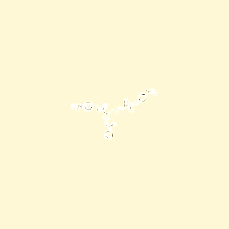 O=C(NCCSC[C@@H]1C[C@H](SC(=O)c2ccccc2)CN1C(=O)OCc1ccc([N+](=O)[O-])cc1)OCc1ccc([N+](=O)[O-])cc1